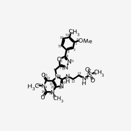 COc1cc(-c2nnc(Cn3c(NCCNS(C)(=O)=O)nc4c3c(=O)n(C)c(=O)n4C)o2)ccc1C